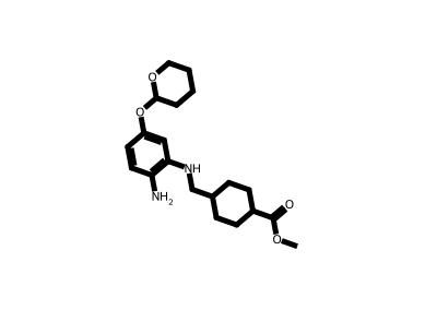 COC(=O)C1CCC(CNc2cc(OC3CCCCO3)ccc2N)CC1